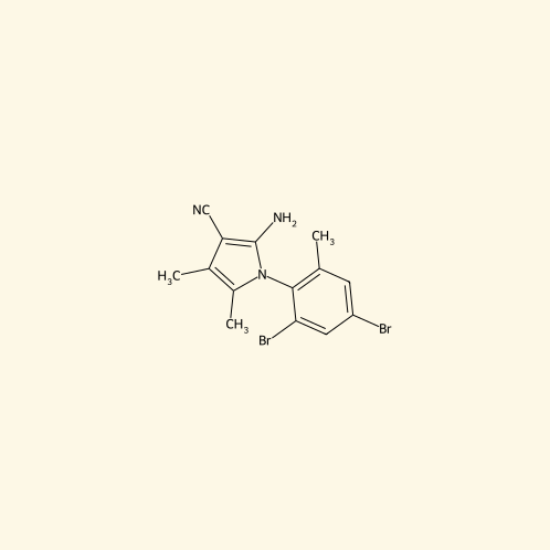 Cc1cc(Br)cc(Br)c1-n1c(C)c(C)c(C#N)c1N